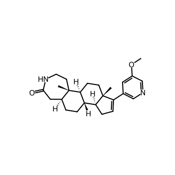 COc1cncc(C2=CC[C@H]3[C@@H]4CC[C@H]5CC(=O)NCC[C@]5(C)[C@H]4CC[C@]23C)c1